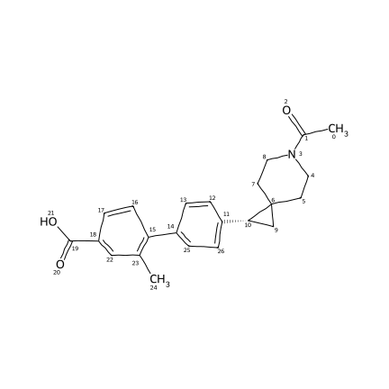 CC(=O)N1CCC2(CC1)C[C@@H]2c1ccc(-c2ccc(C(=O)O)cc2C)cc1